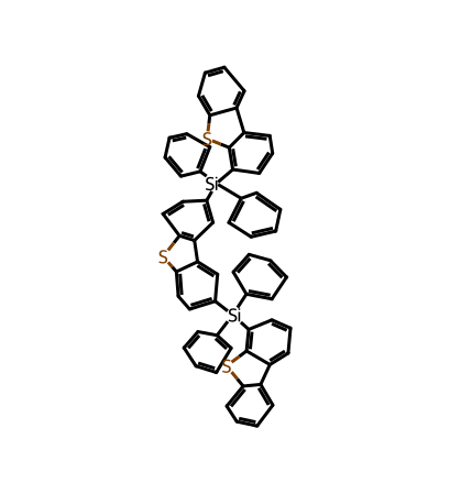 c1ccc([Si](c2ccccc2)(c2ccc3sc4ccc([Si](c5ccccc5)(c5ccccc5)c5cccc6c5sc5ccccc56)cc4c3c2)c2cccc3c2sc2ccccc23)cc1